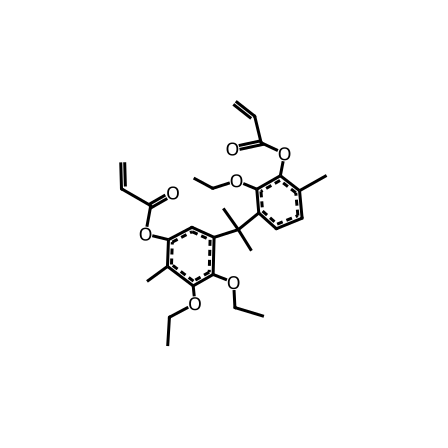 C=CC(=O)Oc1cc(C(C)(C)c2ccc(C)c(OC(=O)C=C)c2OCC)c(OCC)c(OCC)c1C